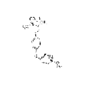 CC(C)Oc1ccc(Oc2ccc(CCC(C)N(C)C(=O)O)cc2)cn1